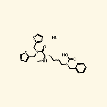 CN[C@@H](CCCCN(Cc1ccccc1)C(=O)O)C(=O)N(Cc1cccs1)Cc1cccs1.Cl